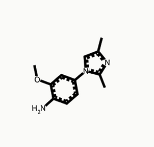 COc1cc(-n2cc(C)nc2C)ccc1N